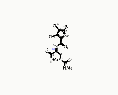 CNC(=S)SC/C(=N\C(=O)c1sc(Cl)c(Cl)c1Cl)C(=O)OC